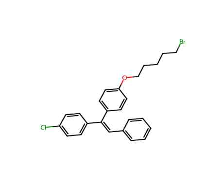 Clc1ccc(/C(=C/c2ccccc2)c2ccc(OCCCCCBr)cc2)cc1